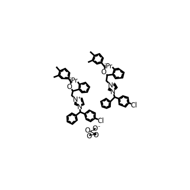 Cc1ccc(COC(C[n+]2ccn(C(c3ccccc3)c3ccc(Cl)cc3)c2)c2ccccc2C(C)C)cc1C.Cc1ccc(COC(C[n+]2ccn(C(c3ccccc3)c3ccc(Cl)cc3)c2)c2ccccc2C(C)C)cc1C.O=S(=O)([O-])[O-]